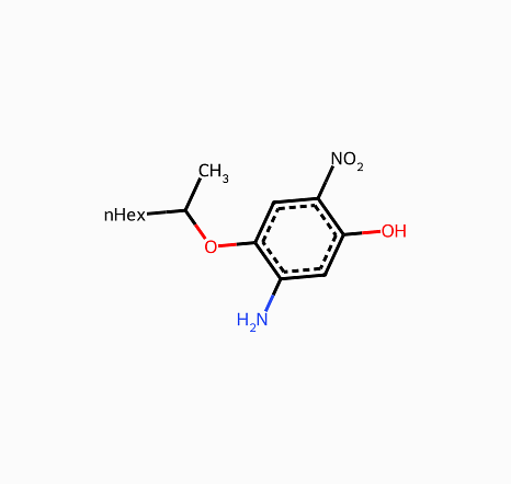 CCCCCCC(C)Oc1cc([N+](=O)[O-])c(O)cc1N